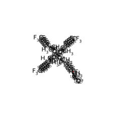 C[Si](C)(CCC(F)(F)C(F)(F)C(F)(F)C(F)(F)C(F)(F)C(F)(F)F)c1ccc([B-](c2ccc([Si](C)(C)CCC(F)(F)C(F)(F)C(F)(F)C(F)(F)C(F)(F)C(F)(F)F)cc2)(c2ccc([Si](C)(C)CCC(F)(F)C(F)(F)C(F)(F)C(F)(F)C(F)(F)C(F)(F)F)cc2)c2ccc([Si](C)(C)CCC(F)(F)C(F)(F)C(F)(F)C(F)(F)C(F)(F)C(F)(F)F)cc2)cc1.Cn1cc[n+](-c2ccccc2)c1